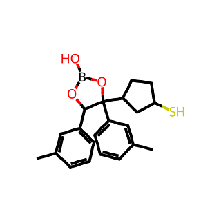 Cc1cccc(C2OB(O)OC2(c2cccc(C)c2)C2CCC(S)C2)c1